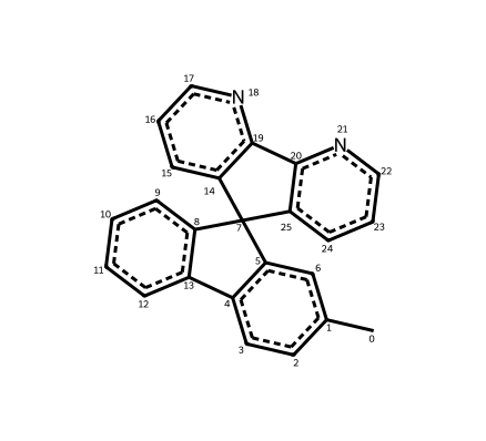 Cc1ccc2c(c1)C1(c3ccccc3-2)c2cccnc2-c2ncccc21